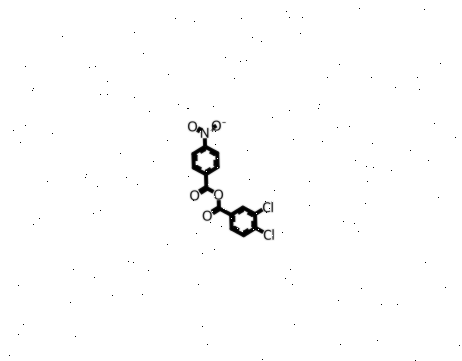 O=C(OC(=O)c1ccc(Cl)c(Cl)c1)c1ccc([N+](=O)[O-])cc1